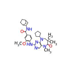 COc1cc(C(=O)NC2CC3CCC2C3)ccc1Nc1ncc2c(n1)N(C1CCCC1)CC(C)(C)C(=O)N2C